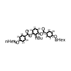 CCCCCCOc1ccc(C(=O)Oc2cccc(OC(=O)c3ccc(OCCCCCC)cc3)c2CCCC)cc1